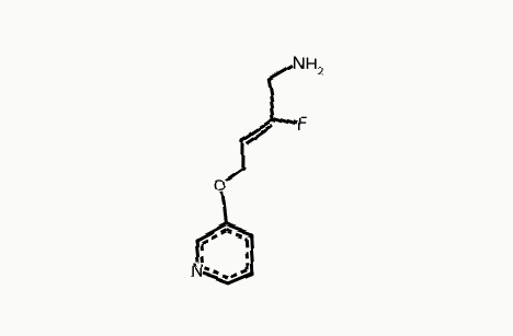 NCC(F)=CCOc1cccnc1